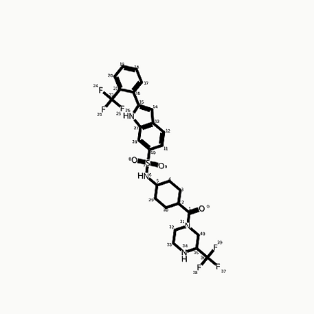 O=C(C1CCC(NS(=O)(=O)c2ccc3cc(-c4ccccc4C(F)(F)F)[nH]c3c2)CC1)N1CCNC(C(F)(F)F)C1